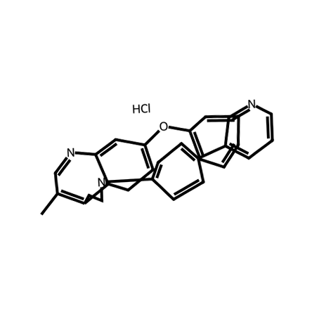 CC1=C2CCN(c3ccc(-c4cccnc4)cc3)C23CC=C(Oc2ccccc2)C=C3N=C1.Cl